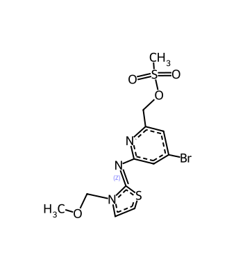 COCn1ccs/c1=N\c1cc(Br)cc(COS(C)(=O)=O)n1